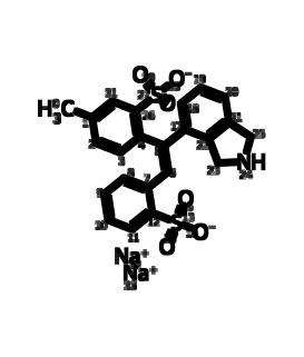 Cc1ccc(C(=Cc2ccccc2S(=O)(=O)[O-])c2cccc3c2CNC3)c(S(=O)(=O)[O-])c1.[Na+].[Na+]